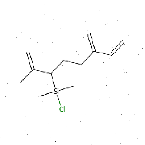 C=CC(=C)CCC(C(=C)C)[Si](C)(C)Cl